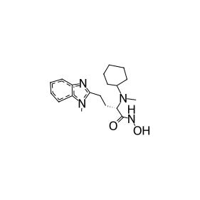 CN(C1CCCCC1)[C@@H](CCc1nc2ccccc2n1C)C(=O)NO